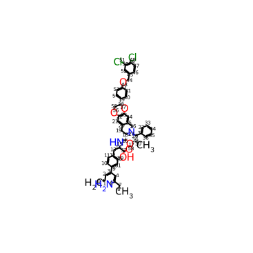 C=C/C=C(\C=C(/N)CC)c1ccc(CC(NC(=O)[C@@H]2Cc3cc4c(cc3CN2[C@@H](CC)c2ccccc2)O[C@@H](c2ccc(OCc3ccc(Cl)c(Cl)c3)cc2)CO4)C(=O)O)cc1